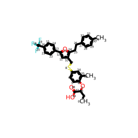 CCC(Oc1ccc(SCc2cc(-c3ccc(C(F)(F)F)cc3)oc2CCc2ccc(C)cc2)cc1C)C(=O)O